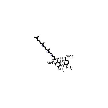 CNCC1CC[C@H](N)C(OC(C(C)N)C(O)C(C(C)OC)N(C)C(=O)C/N=C/C=C(\C)CC/C=C(\C)CCC=C(C)C)O1